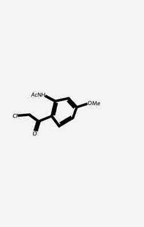 COc1ccc(C(=O)CCl)c(NC(C)=O)c1